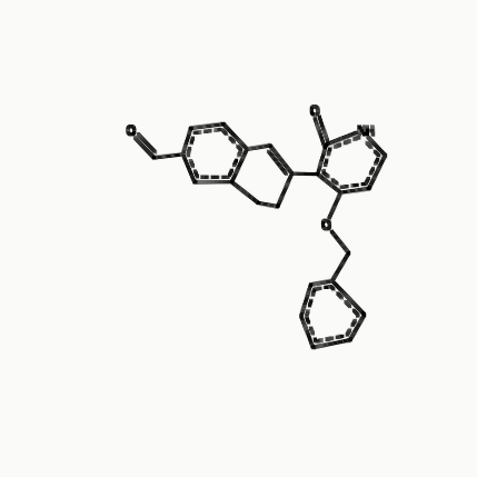 O=Cc1ccc2c(c1)CCC(c1c(OCc3ccccc3)cc[nH]c1=O)=C2